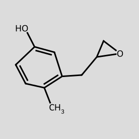 Cc1ccc(O)cc1CC1CO1